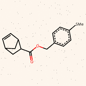 CSc1ccc(COC(=O)C2CC3C=CC2C3)cc1